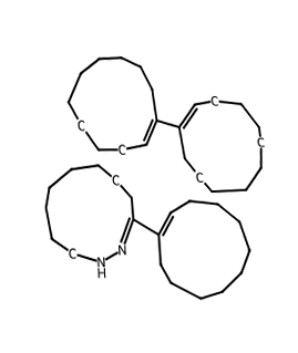 C1=C(C2=CCCCCCCCCC2)CCCCCCCCC1.C1=C(C2=NNCCCCCCCC2)CCCCCCCCC1